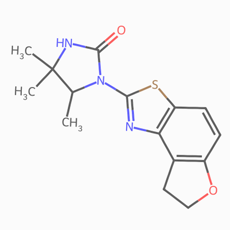 CC1N(c2nc3c4c(ccc3s2)OCC4)C(=O)NC1(C)C